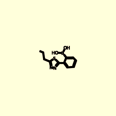 CCCc1nnc(-c2ccccc2B(O)O)s1